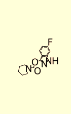 O=C(Oc1n[nH]c2cc(F)ccc12)N1CCCCC1